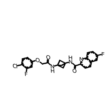 O=C(COc1ccc(Cl)c(F)c1)NC12CC(NC(=O)c3ccc4cc(F)ccc4n3)(C1)C2